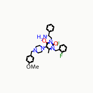 COc1ccc(CN2CCN(c3c(C)n(Cc4c(F)cccc4F)c(=O)n(C[C@H](N)c4ccccc4)c3=O)CC2)cc1